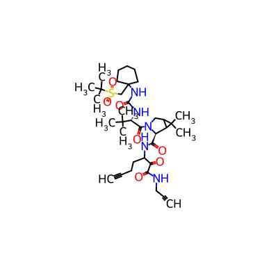 C#CCCC(NC(=O)[C@@H]1C2C(CN1C(=O)[C@@H](NC(=O)NC1(CS(=O)(=O)C(C)(C)C)CCCCC1)C(C)(C)C)C2(C)C)C(=O)C(=O)NCC#C